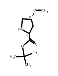 CO[C@H]1CN[C@H](C(=O)OC(C)(C)C)C1